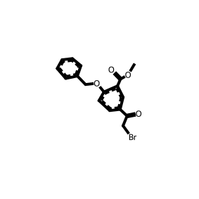 COC(=O)c1cc(C(=O)CBr)ccc1OCc1ccccc1